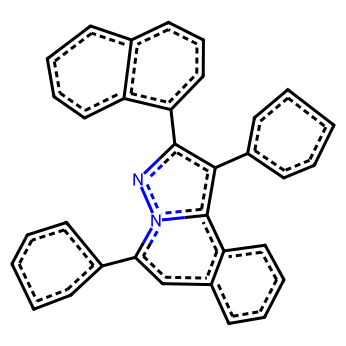 c1ccc(-c2c(-c3cccc4ccccc34)nn3c(-c4ccccc4)cc4ccccc4c23)cc1